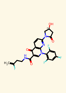 C=C(F)CCNC(=O)c1cn(-c2c(F)cc(F)cc2F)c2nc(N3C[C@@H](O)CC3=O)ccc2c1=O